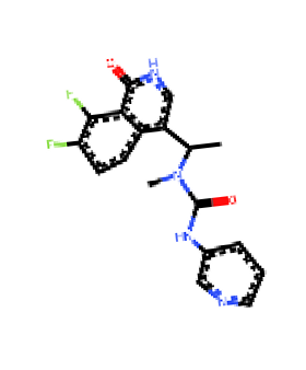 CC(c1c[nH]c(=O)c2c(F)c(F)ccc12)N(C)C(=O)Nc1cccnc1